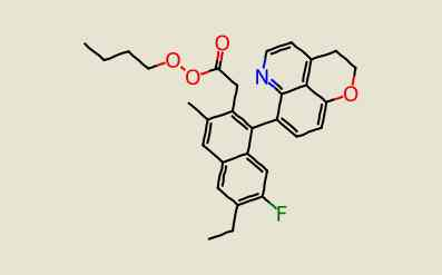 CCCCOOC(=O)Cc1c(C)cc2cc(CC)c(F)cc2c1-c1ccc2c3c(ccnc13)CCO2